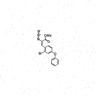 COC(=O)/C(=C\c1ccc(Oc2ccccc2)cc1Br)N=[N+]=[N-]